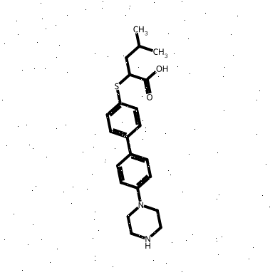 CC(C)CC(Sc1ccc(-c2ccc(N3CCNCC3)cc2)cc1)C(=O)O